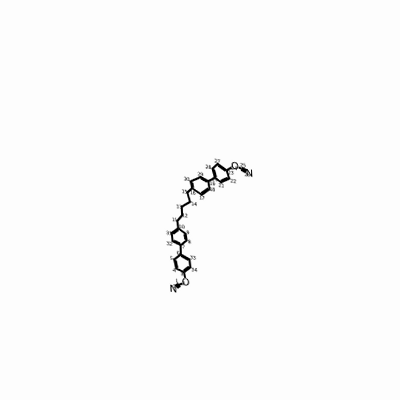 N#COc1ccc(-c2ccc(CCCCCc3ccc(-c4ccc(OC#N)cc4)cc3)cc2)cc1